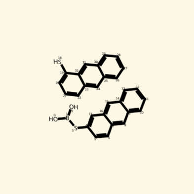 OB(O)Sc1ccc2cc3ccccc3cc2c1.Sc1cccc2cc3ccccc3cc12